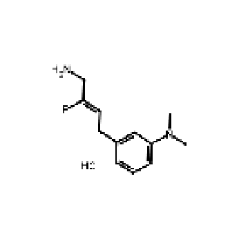 CN(C)c1cccc(CC=C(F)CN)c1.Cl